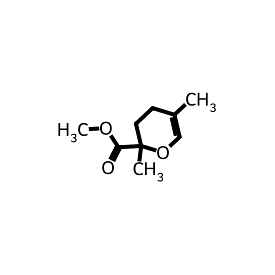 COC(=O)C1(C)CCC(C)=CO1